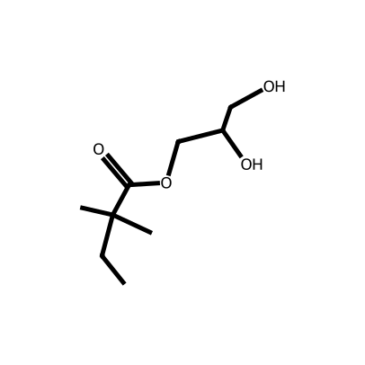 CCC(C)(C)C(=O)OCC(O)CO